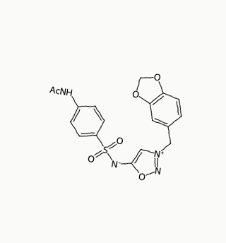 CC(=O)Nc1ccc(S(=O)(=O)[N-]c2c[n+](Cc3ccc4c(c3)OCO4)no2)cc1